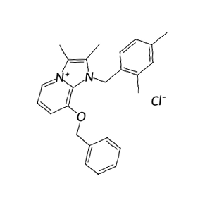 Cc1ccc(Cn2c(C)c(C)[n+]3cccc(OCc4ccccc4)c23)c(C)c1.[Cl-]